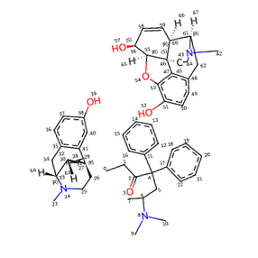 CCC(=O)C(CC(C)N(C)C)(c1ccccc1)c1ccccc1.CN1CC[C@]23CCCC[C@H]2[C@H]1Cc1ccc(O)cc13.CN1CC[C@]23c4c5ccc(O)c4O[C@H]2[C@@H](O)C=C[C@H]3[C@H]1C5